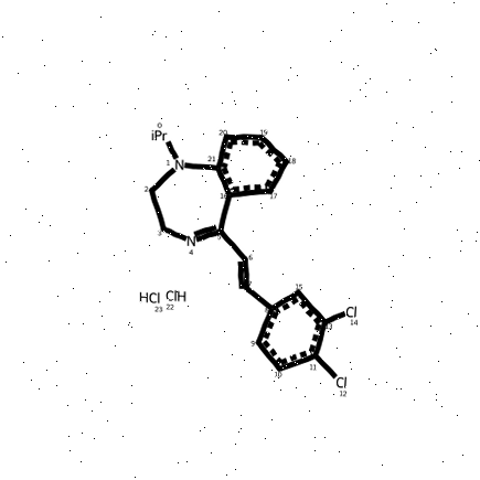 CC(C)N1CCN=C(C=Cc2ccc(Cl)c(Cl)c2)c2ccccc21.Cl.Cl